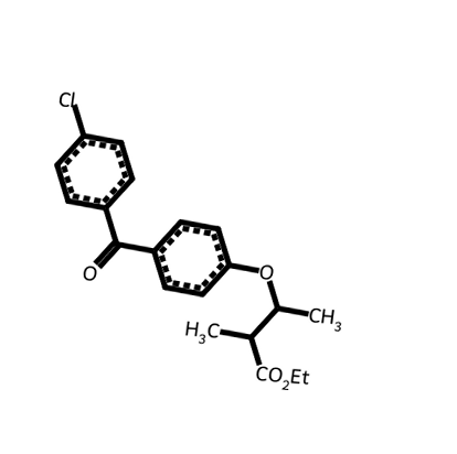 CCOC(=O)C(C)C(C)Oc1ccc(C(=O)c2ccc(Cl)cc2)cc1